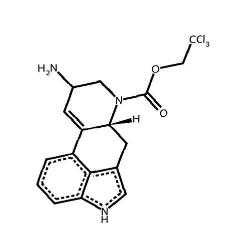 NC1C=C2c3cccc4[nH]cc(c34)C[C@H]2N(C(=O)OCC(Cl)(Cl)Cl)C1